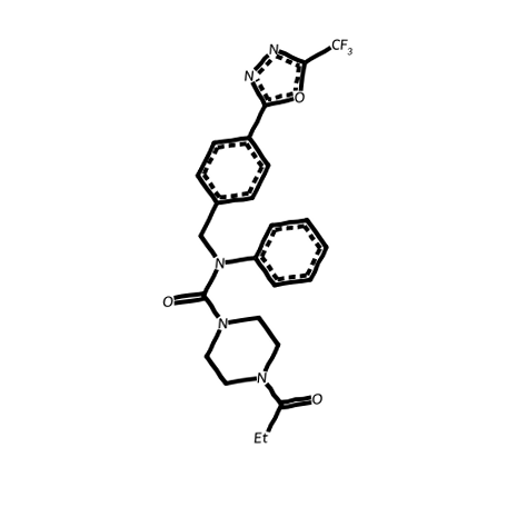 CCC(=O)N1CCN(C(=O)N(Cc2ccc(-c3nnc(C(F)(F)F)o3)cc2)c2ccccc2)CC1